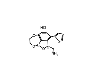 Cl.NC[C@H]1OB2OCCOc3ccc(-c4cccs4)c1c32